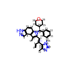 C=C/C(=C\c1c(C)c2c3cn[nH]c3ccc2n1[C@H](c1ccccc1)C1CCOCC1)c1c(C)nnn1C